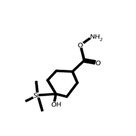 C[Si](C)(C)C1(O)CCC(C(=O)ON)CC1